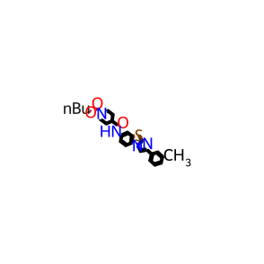 CCCCOC(=O)N1CCC(C(=O)Nc2ccc3c(c2)sc2nc(-c4cccc(C)c4)cn23)CC1